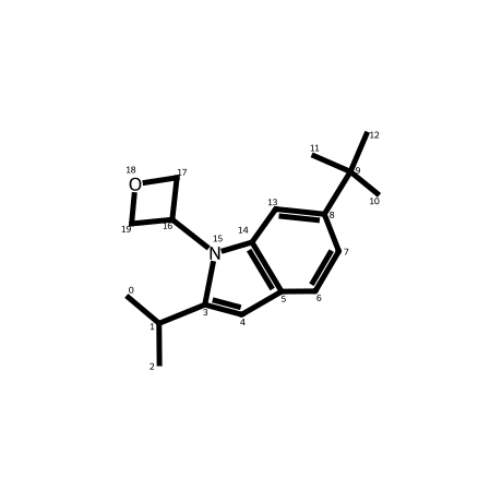 CC(C)c1cc2ccc(C(C)(C)C)cc2n1C1COC1